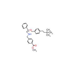 COC(=O)c1ccc(CNC[C@H](OCc2ccc(CCC(C)(C)C)cc2)c2ccccc2)cc1